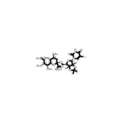 COC(=O)[C@@]1(OC[C@H]2O[C@@H](n3cc(F)c(=O)[nH]c3=O)[C@@H]3OC(C)(C)O[C@@H]32)C[C@H](OC(C)=O)[C@@H](NC(C)=O)[C@H]([C@H](OC(C)=O)[C@@H](COC(C)=O)OC(C)=O)O1